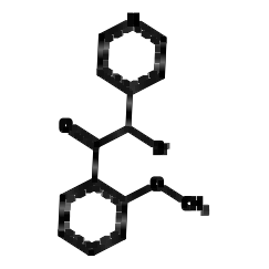 COc1ccccc1C(=O)C(Br)c1ccncc1